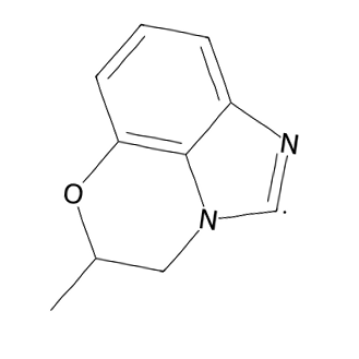 CC1Cn2[c]nc3cccc(c32)O1